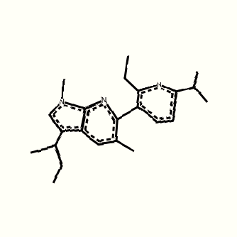 CCc1nc(C(C)C)ccc1-c1nc2c(cc1C)c(C(C)CC)cn2C